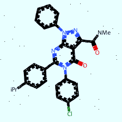 CNC(=O)c1nn(-c2ccccc2)c2nc(-c3ccc(C(C)C)cc3)n(-c3ccc(Cl)cc3)c(=O)c12